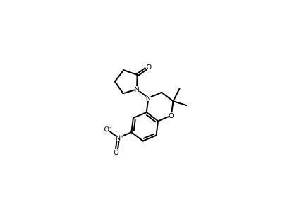 CC1(C)CN(N2CCCC2=O)c2cc([N+](=O)[O-])ccc2O1